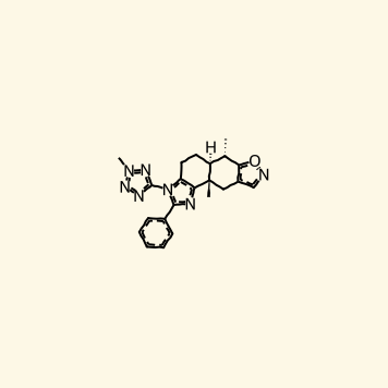 C[C@@H]1c2oncc2C[C@]2(C)c3nc(-c4ccccc4)n(-c4nnn(C)n4)c3CC[C@@H]12